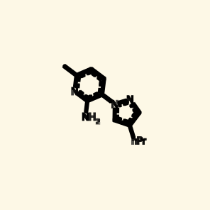 CCCc1cnn(-c2ccc(C)nc2N)c1